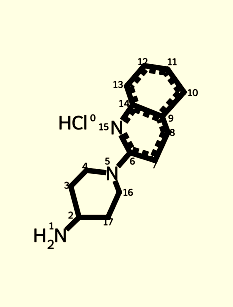 Cl.NC1CCN(c2ccc3ccccc3n2)CC1